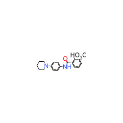 O=C(O)c1ccccc1C(=O)Nc1ccc(N2CCCCC2)cc1